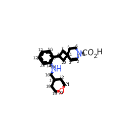 O=C(O)N1C=CC2(CC1)CC(c1ccccc1NCC1CCOCC1)C2